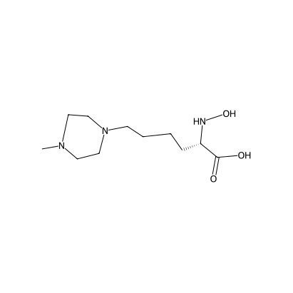 CN1CCN(CCCC[C@H](NO)C(=O)O)CC1